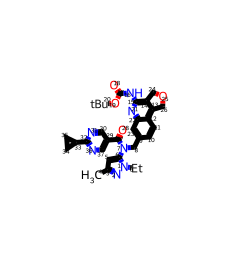 CCn1nc(C)cc1N(Cc1ccc2c3c(c(NC(=O)OC(C)(C)C)nc2c1)COC3)C(=O)c1cnc(C2CC2)nc1